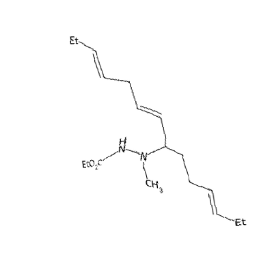 CC/C=C/C/C=C/C(CC/C=C/CC)N(C)NC(=O)OCC